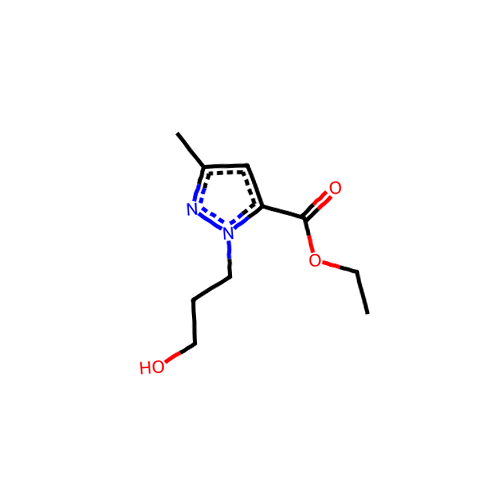 CCOC(=O)c1cc(C)nn1CCCO